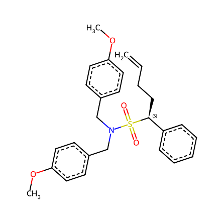 C=CCC[C@@H](c1ccccc1)S(=O)(=O)N(Cc1ccc(OC)cc1)Cc1ccc(OC)cc1